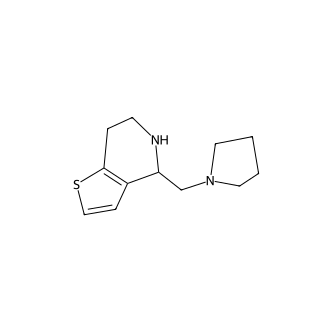 c1cc2c(s1)CCNC2CN1CCCC1